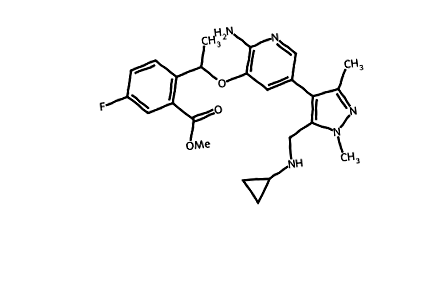 COC(=O)c1cc(F)ccc1C(C)Oc1cc(-c2c(C)nn(C)c2CNC2CC2)cnc1N